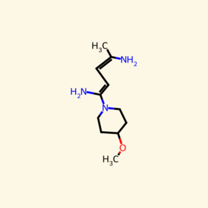 COC1CCN(/C(N)=C/C=C(/C)N)CC1